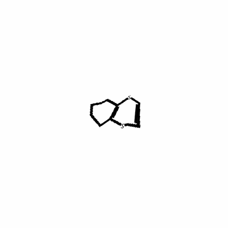 C1=CSC2=C(CCCC2)S1